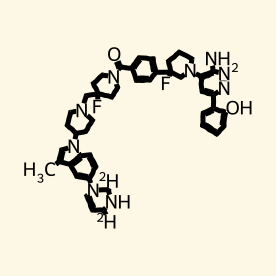 [2H]C1C=CN(c2ccc3c(c2)c(C)cn3C2CCN(CC3(F)CCN(C(=O)c4ccc(C5(F)CCCN(c6cc(-c7ccccc7O)nnc6N)C5)cc4)CC3)CC2)C([2H])N1